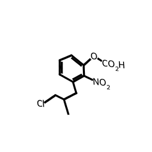 CC(CCl)Cc1cccc(OC(=O)O)c1[N+](=O)[O-]